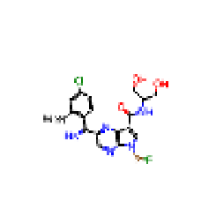 CNc1cc(Cl)ccc1C(=N)c1cnc2c(n1)c(C(=O)NC(CO)CO)cn2SF